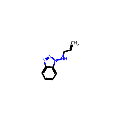 C=CCNn1nnc2ccccc21